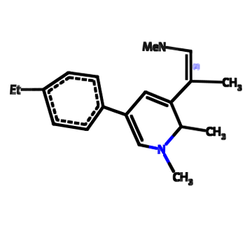 CCc1ccc(C2=CN(C)C(C)C(/C(C)=C\NC)=C2)cc1